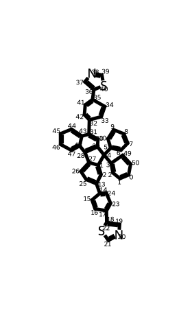 c1ccc(C2(c3ccccc3)c3cc(-c4ccc(-c5cncs5)cc4)ccc3-c3c2cc(-c2ccc(-c4cncs4)cc2)c2ccccc32)cc1